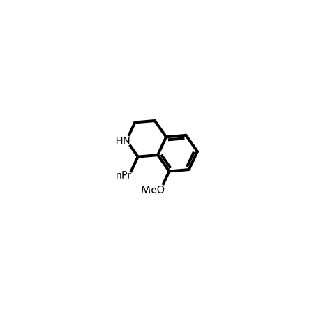 CCCC1NCCc2cccc(OC)c21